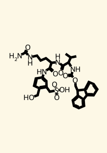 CC(C)C(NC(=O)OCC1c2ccccc2-c2ccccc21)C(=O)NC(CCCNC(N)=O)C(=O)Nc1ccc(CO)c(CS(=O)(=O)O)c1